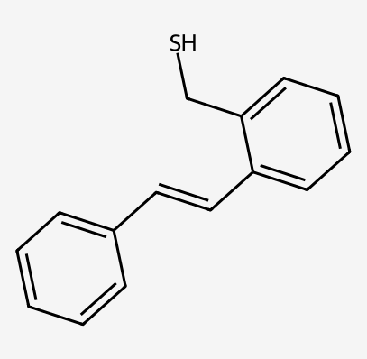 SCc1ccccc1C=Cc1ccccc1